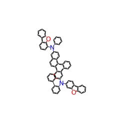 c1ccc(-c2ccccc2N(c2ccc3c(c2)oc2ccccc23)c2ccc3c(c2)c2ccccc2c2c4ccc(N(c5ccccc5)c5cccc6c5oc5ccccc56)cc4ccc32)cc1